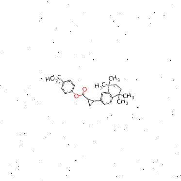 CC1(C)CCC(C)(C)c2cc(C3CC3C(=O)Oc3ccc(C(=O)O)cc3)ccc21